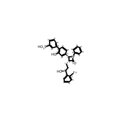 O=C1[C@H](CC[C@H](O)c2ccccc2F)[C@@H](c2ccc(-c3cccc(S(=O)(=O)O)c3)c(O)c2)N1c1ccccc1